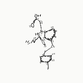 Cc1ccc(COc2cccc(N(CC(=O)O)NC(N)=O)c2)cc1